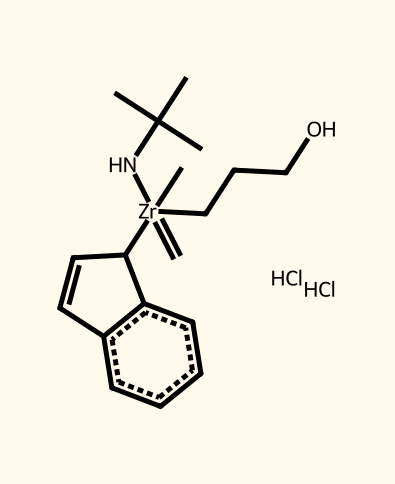 Cl.Cl.[CH2]=[Zr]([CH3])([CH2]CCO)([NH]C(C)(C)C)[CH]1C=Cc2ccccc21